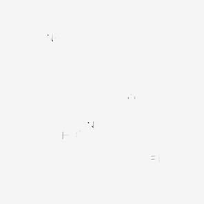 CC/C=C/Cc1cn(C)cc(-c2cccc(CCC#N)c2)c1=O